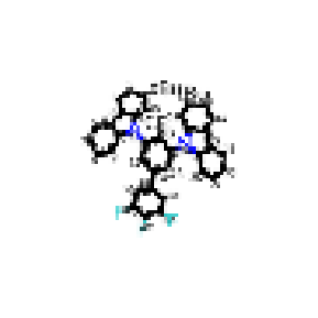 CC(C)(C)c1ccc2c3ccccc3n(-c3cc(-c4cc(F)c(F)c(F)c4)cc(-n4c5ccccc5c5ccc(C(C)(C)C)cc54)c3C(F)(F)F)c2c1